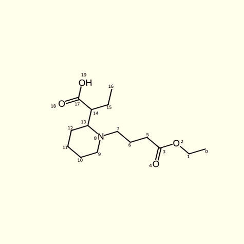 CCOC(=O)CCCN1CCCCC1C(CC)C(=O)O